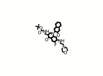 CC(C)(C)OC(=O)NCc1cn2c3c(c(NCCN4CCOCC4)c(F)cc3c1=O)Oc1cc3ccccc3cc1-2